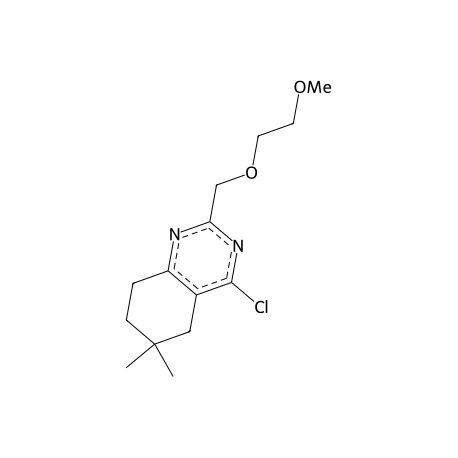 COCCOCc1nc(Cl)c2c(n1)CCC(C)(C)C2